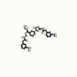 C=N/N=C(\SCNC(=O)Cc1cccc(NCC)c1)C1CCC[C@H](N2NN=C(NC(=O)Cc3cccc(NCC)c3)S2)C1